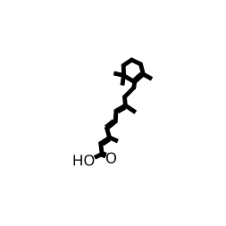 CC1=C(CC/C(C)=C/C=C/C(C)=C/C(=O)O)C(C)(C)CCC1